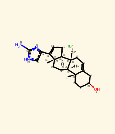 Br.C[C@]12CC[C@H](O)CC1=CC[C@@H]1[C@@H]2CC[C@]2(C)C(c3c[nH]c(N)n3)=CC[C@@H]12